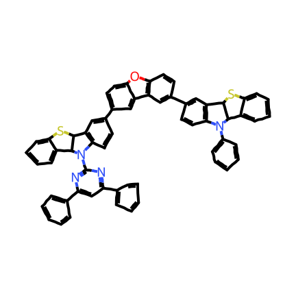 c1ccc(-c2cc(-c3ccccc3)nc(N3c4ccc(-c5ccc6oc7ccc(-c8ccc9c(c8)C8Sc%10ccccc%10C8N9c8ccccc8)cc7c6c5)cc4C4Sc5ccccc5C43)n2)cc1